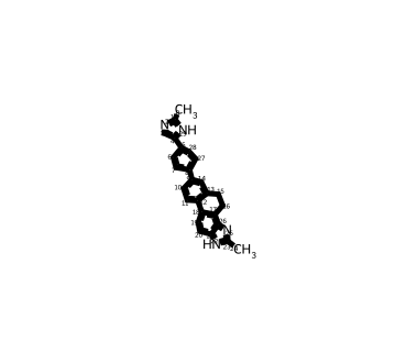 Cc1ncc(-c2ccc(-c3ccc4c(c3)CCc3c-4ccc4[nH]c(C)nc34)cc2)[nH]1